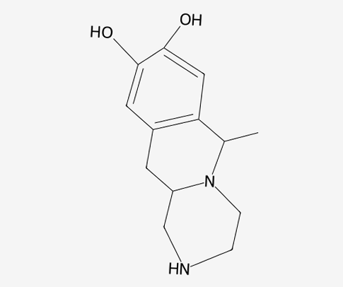 CC1c2cc(O)c(O)cc2CC2CNCCN21